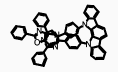 c1ccc(-c2nc(-c3ccccc3)nc(-c3ccc(-n4c5ccccc5c5ccc6c7ccccc7n(-c7ccc(-c8ccc9oc(-c%10ccccc%10)nc9c8)cc7)c6c54)cc3)n2)cc1